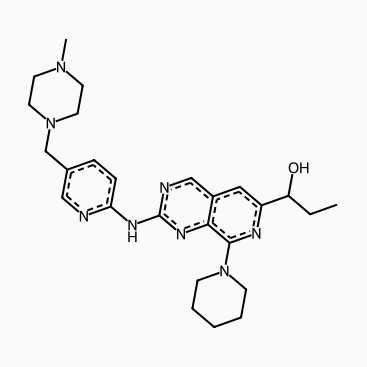 CCC(O)c1cc2cnc(Nc3ccc(CN4CCN(C)CC4)cn3)nc2c(N2CCCCC2)n1